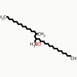 CCCCCCCCCCCCCC[C](C)CC(CC)CC(O)CCCCCCCCCCCCCC